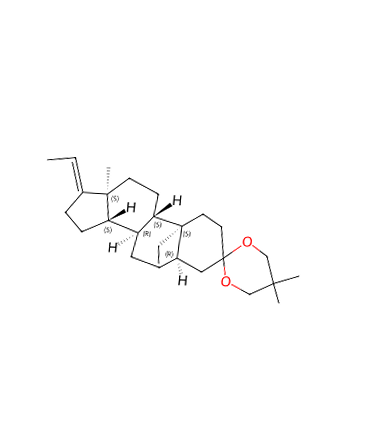 CC=C1CC[C@H]2[C@@H]3CC[C@@H]4CC5(CC[C@]4(CC)[C@H]3CC[C@]12C)OCC(C)(C)CO5